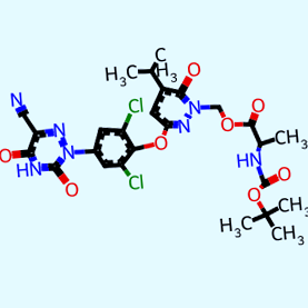 CC(NC(=O)OC(C)(C)C)C(=O)OCn1nc(Oc2c(Cl)cc(-n3nc(C#N)c(=O)[nH]c3=O)cc2Cl)cc(C(C)C)c1=O